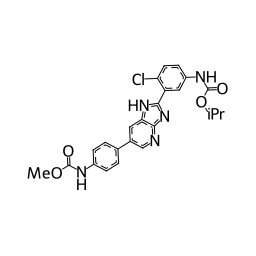 COC(=O)Nc1ccc(-c2cnc3nc(-c4cc(NC(=O)OC(C)C)ccc4Cl)[nH]c3c2)cc1